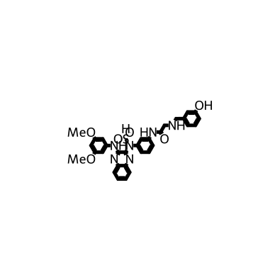 COc1cc(Nc2nc3ccccc3nc2N(c2cccc(NC(=O)CNCc3cccc(O)c3)c2)[SH](=O)=O)cc(OC)c1